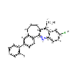 Cc1ccccc1-c1ccc2c(c1)CCCc1c-2nc2ccc(F)cc2c1C(=O)O